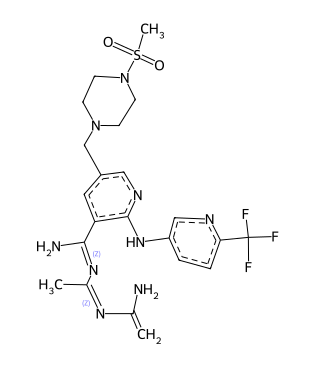 C=C(N)/N=C(C)\N=C(/N)c1cc(CN2CCN(S(C)(=O)=O)CC2)cnc1Nc1ccc(C(F)(F)F)nc1